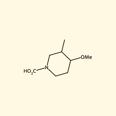 COC1CCN(C(=O)O)CC1C